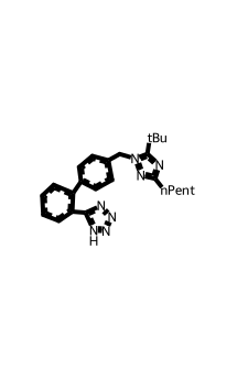 CCCCCc1nc(C(C)(C)C)n(Cc2ccc(-c3ccccc3-c3nnn[nH]3)cc2)n1